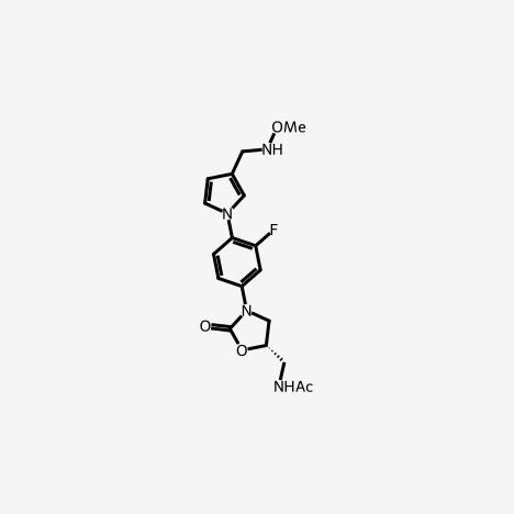 CONCc1ccn(-c2ccc(N3C[C@H](CNC(C)=O)OC3=O)cc2F)c1